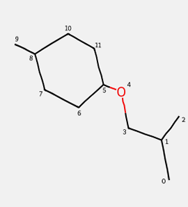 CC(C)COC1CCC(C)CC1